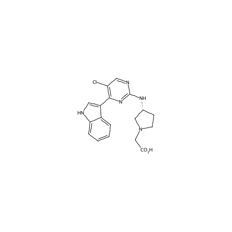 O=C(O)CN1CC[C@@H](Nc2ncc(Cl)c(-c3c[nH]c4ccccc34)n2)C1